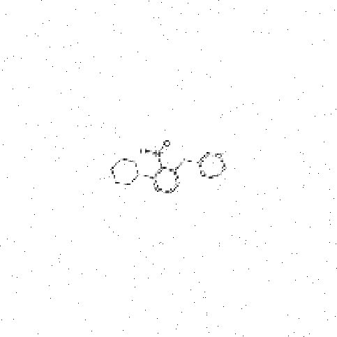 O=[N+]([O-])c1c(Cc2ccccc2)c[c]cc1C1CCCCC1